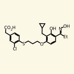 CCC(=NO)c1ccc(OCCCSc2ccc(CC(=O)O)cc2Cl)c(CC2CC2)c1O